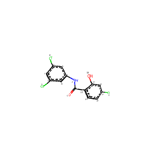 O=C(Nc1cc(Cl)cc(Cl)c1)c1ccc(Cl)cc1O